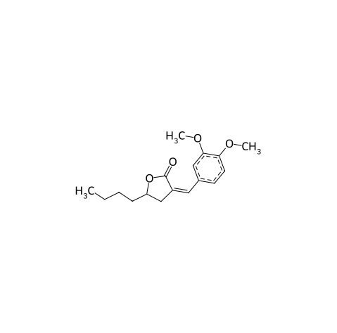 CCCCC1CC(=Cc2ccc(OC)c(OC)c2)C(=O)O1